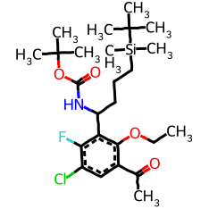 CCOc1c(C(C)=O)cc(Cl)c(F)c1C(CCC[Si](C)(C)C(C)(C)C)NC(=O)OC(C)(C)C